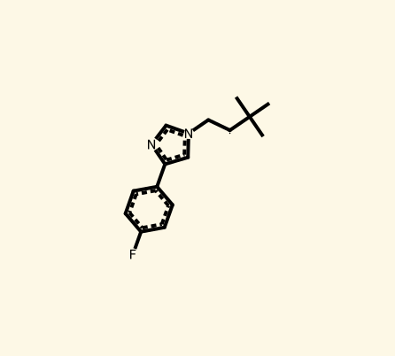 CC(C)(C)[CH]Cn1cnc(-c2ccc(F)cc2)c1